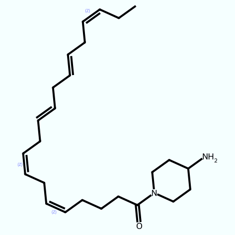 CC/C=C\CC=CCC=CC/C=C\C/C=C\CCCC(=O)N1CCC(N)CC1